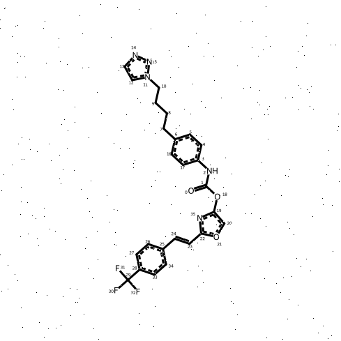 O=C(Nc1ccc(CCCCn2ccnn2)cc1)Oc1coc(C=Cc2ccc(C(F)(F)F)cc2)n1